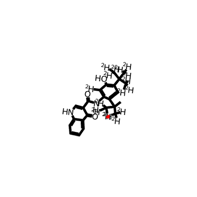 [2H]c1c(O)c(C(C([2H])([2H])[2H])(C([2H])([2H])[2H])C([2H])([2H])[2H])cc(C(C)(C([2H])([2H])[2H])C([2H])([2H])[2H])c1NC(=O)c1c[nH]c2ccccc2c1=O